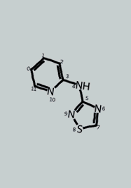 c1ccc(Nc2ncsn2)nc1